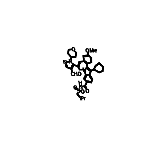 COc1ccc2c(c1)C=C(c1c(C=O)cnn1C1CCOCC1)Cn1c-2c(C2CCCCC2)c2ccc(C(=O)NS(=O)(=O)CC(C)C)cc21